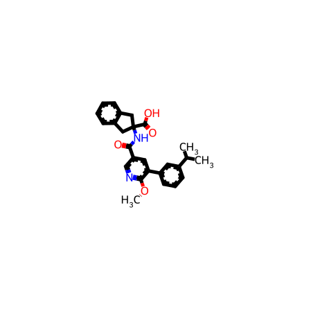 COc1ncc(C(=O)NC2(C(=O)O)Cc3ccccc3C2)cc1-c1cccc(C(C)C)c1